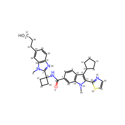 Cn1c(C2(NC(=O)c3ccc4c(C5CCCC5)c(-c5nccs5)n(C)c4c3)CCC2)nc2ccc(CCC(=O)O)cc21